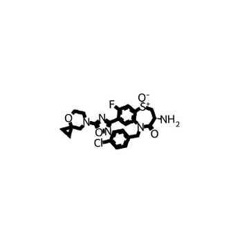 N[C@H]1C[S+]([O-])c2cc(F)c(-c3noc(N4CCOC5(CC5)C4)n3)cc2N(Cc2ccc(Cl)cc2)C1=O